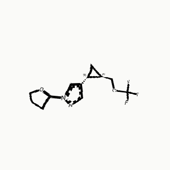 FC(F)(F)OC[C@@H]1C[C@H]1c1cnn(C2CCCO2)c1